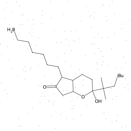 BCCCCCCC1C(=O)CC2OC(O)(C(C)(C)CC(C)CC)CCC21